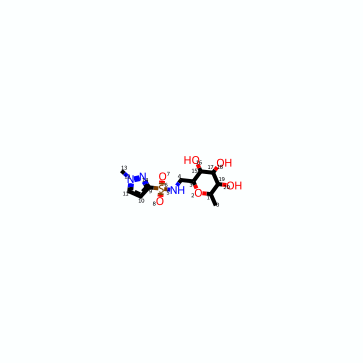 CC1OC(CNS(=O)(=O)c2ccn(C)n2)C(O)C(O)C1O